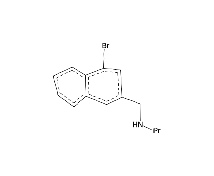 CC(C)NCc1cc(Br)c2ccccc2c1